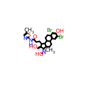 Cc1cnc(NC(=O)CCC2C(=C\O)/C(=N\O)C3(C)CCC4c5cc(Br)c(O)c(Br)c5CCC4C23)s1